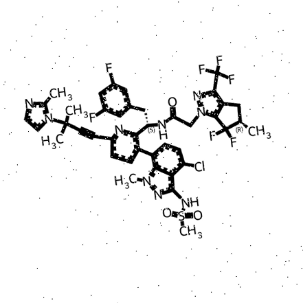 Cc1nccn1C(C)(C)C#Cc1ccc(-c2ccc(Cl)c3c(NS(C)(=O)=O)nn(C)c23)c([C@H](Cc2cc(F)cc(F)c2)NC(=O)Cn2nc(C(F)(F)F)c3c2C(F)(F)[C@H](C)C3)n1